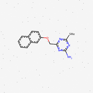 CSc1nc(N)nc(COc2ccc3ccccc3c2)n1